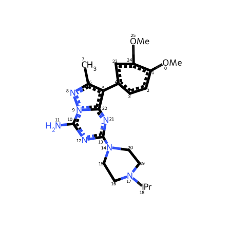 COc1ccc(-c2c(C)nn3c(N)nc(N4CCN(C(C)C)CC4)nc23)cc1OC